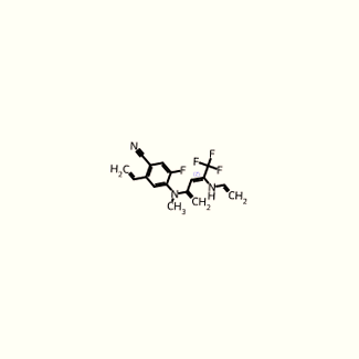 C=CN/C(=C\C(=C)N(C)c1cc(C=C)c(C#N)cc1F)C(F)(F)F